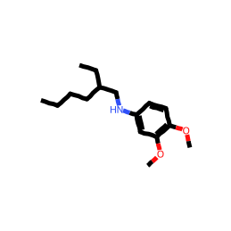 CCCCC(CC)CNc1ccc(OC)c(OC)c1